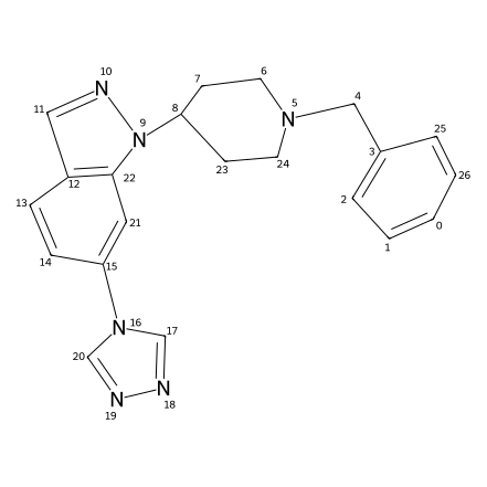 c1ccc(CN2CCC(n3ncc4ccc(-n5cnnc5)cc43)CC2)cc1